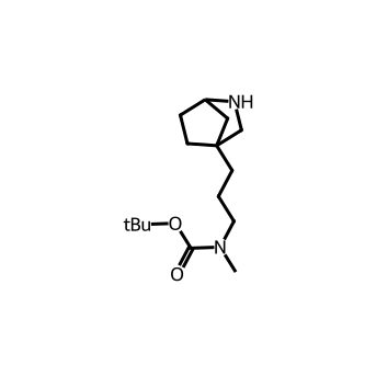 CN(CCCC12CCC(C1)NC2)C(=O)OC(C)(C)C